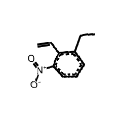 C=Cc1c(CC)cccc1[N+](=O)[O-]